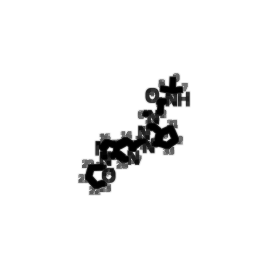 CN(CC(=O)NC(C)(C)C)c1nc(-c2cc3cnn(C4CCCCO4)c3cn2)nc2c1CCC2